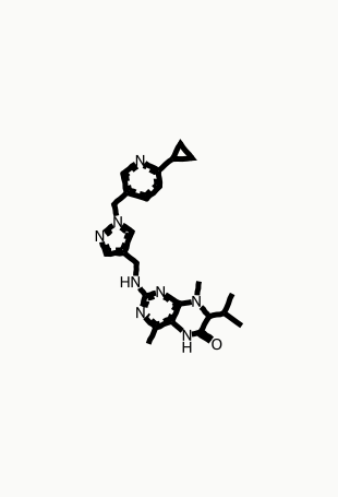 Cc1nc(NCc2cnn(Cc3ccc(C4CC4)nc3)c2)nc2c1NC(=O)C(C(C)C)N2C